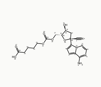 N#C[C@]1(c2ccc3c(N)ncnn23)C[C@H](O)[C@@H](COC(=O)OCCCCC(=O)O)O1